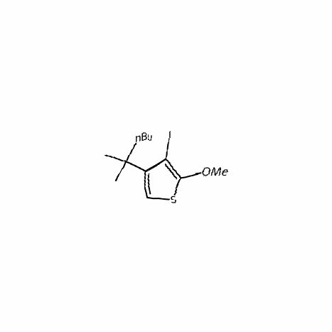 CCCCC(C)(C)c1csc(OC)c1I